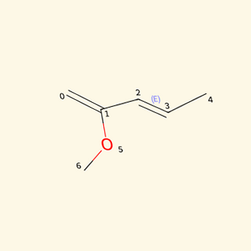 C=C(/C=C/C)OC